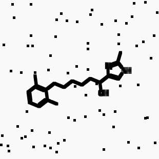 Cc1nc(C(O)CCCCCc2c(C)cccc2C)c[nH]1